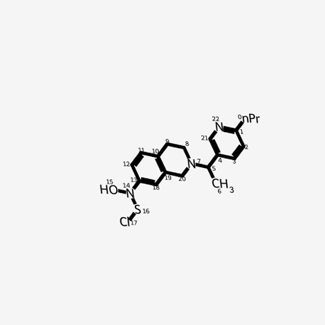 CCCc1ccc(C(C)N2CCc3ccc(N(O)SCl)cc3C2)cn1